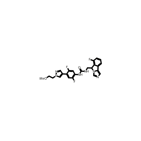 COCCn1cc(-c2cc(F)c(NC(=O)NCC3c4c(F)cccc4-c4cncn43)cc2F)cn1